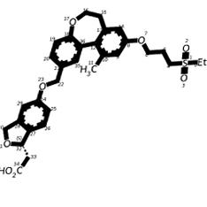 CCS(=O)(=O)CCCOc1cc(C)c2c(c1)CCOc1ccc(COc3ccc4c(c3)CO[C@H]4CC(=O)O)cc1-2